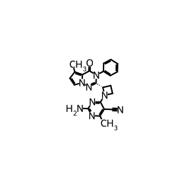 Cc1nc(N)nc(N2CC[C@H]2c2nn3ccc(C)c3c(=O)n2-c2ccccc2)c1C#N